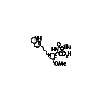 COCC(F)CN(CCCCc1ccc2c(n1)NCCC2)CCC(NC(=O)OC(C)(C)C)C(=O)O